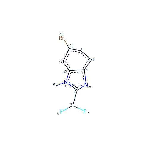 Cn1c(C(F)F)nc2ccc(Br)cc21